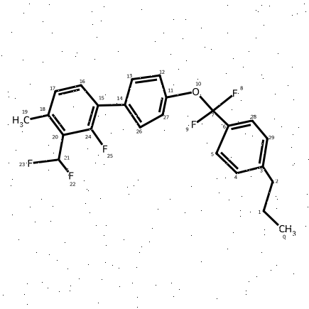 CCCc1ccc(C(F)(F)Oc2ccc(-c3ccc(C)c(C(F)F)c3F)cc2)cc1